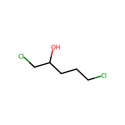 OC(CCl)CCCCl